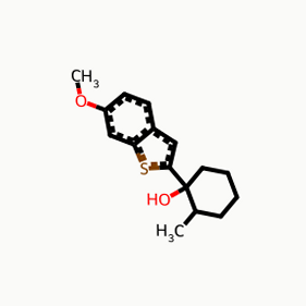 COc1ccc2cc(C3(O)CCCCC3C)sc2c1